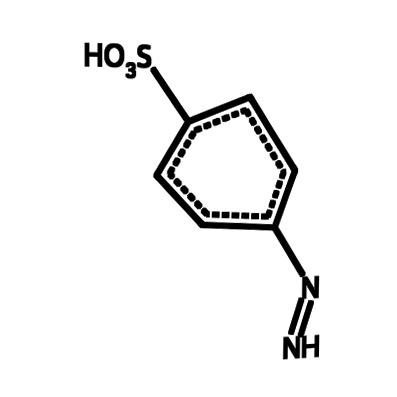 N=Nc1ccc(S(=O)(=O)O)cc1